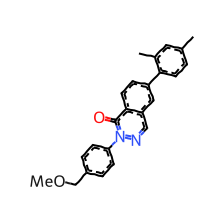 COCc1ccc(-n2ncc3cc(-c4ccc(C)cc4C)ccc3c2=O)cc1